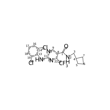 O=C(NCC1CCC1)c1cnc(Nc2c(Cl)cccc2Cl)nc1C(F)(F)F